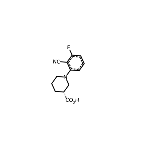 N#Cc1c(F)cccc1N1CCC[C@@H](C(=O)O)C1